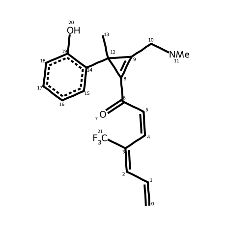 C=C/C=C(\C=C/C(=O)C1=C(CNC)C1(C)c1ccccc1O)C(F)(F)F